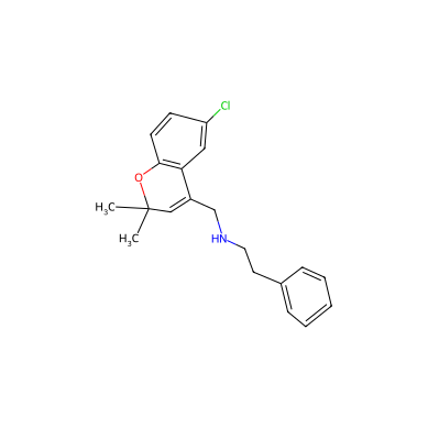 CC1(C)C=C(CNCCc2ccccc2)c2cc(Cl)ccc2O1